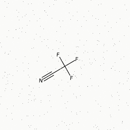 N#CC(F)(F)F